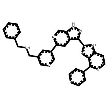 c1ccc(CNCc2cncc(-c3cc4c(-c5nc6c(-c7ccncc7)nccc6[nH]5)n[nH]c4cn3)c2)cc1